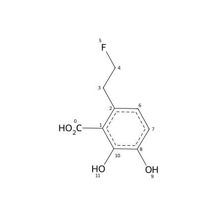 O=C(O)c1c(CCF)ccc(O)c1O